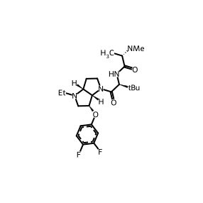 CCN1C[C@H](Oc2ccc(F)c(F)c2)[C@@H]2[C@H]1CCN2C(=O)[C@@H](NC(=O)[C@H](C)NC)C(C)(C)C